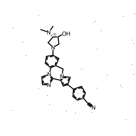 CN(C)[C@H]1CN(c2ccc3c(c2)Cn2cc(-c4ccc(C#N)cc4)cc2-c2nccn2-3)CC1O